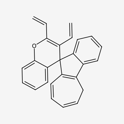 C=CC1=C(C=C)C2(C3=C(CC=CC=C3)c3ccccc32)c2ccccc2O1